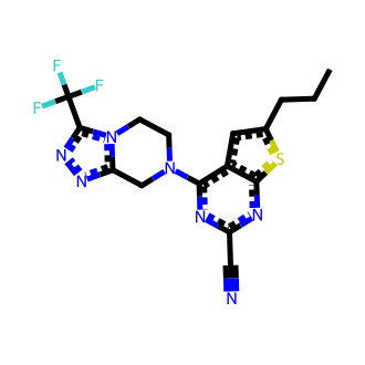 CCCc1cc2c(N3CCn4c(nnc4C(F)(F)F)C3)nc(C#N)nc2s1